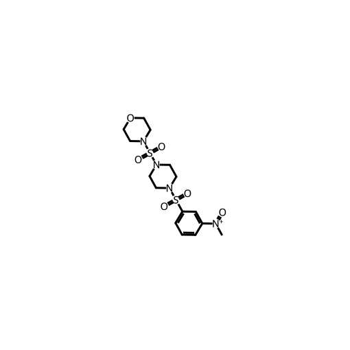 C[N+](=O)c1cccc(S(=O)(=O)N2CCN(S(=O)(=O)N3CCOCC3)CC2)c1